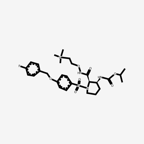 CC(C)OC(=O)N[C@H]1CCCN(S(=O)(=O)c2ccc(OCc3ccc(F)cc3)cc2)[C@H]1C(=O)NOCC[Si](C)(C)C